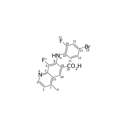 Cc1ccnc2c(F)c(Nc3ccc(Br)cc3F)c(C(=O)O)cc12